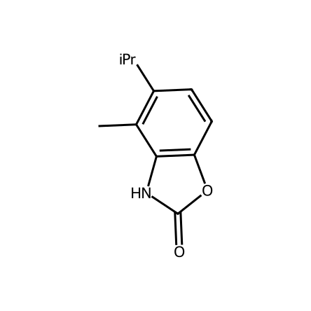 Cc1c(C(C)C)ccc2oc(=O)[nH]c12